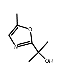 Cc1cnc(C(C)(C)O)o1